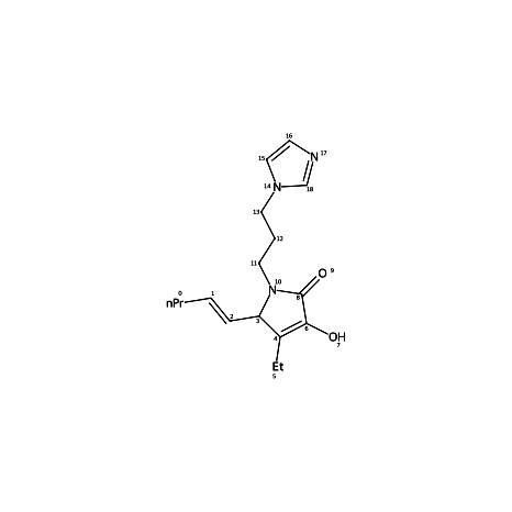 CCCC=CC1C(CC)=C(O)C(=O)N1CCCn1ccnc1